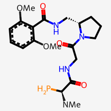 CN[C@@H](P)C(=O)NCC(=O)N1CCC[C@H]1CNC(=O)c1c(OC)cccc1OC